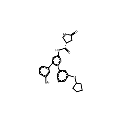 CCCc1cccc(-c2cc(NC(=O)[C@@H]3CNC(=O)C3)nn2-c2cccc(OC3CCCC3)c2)c1